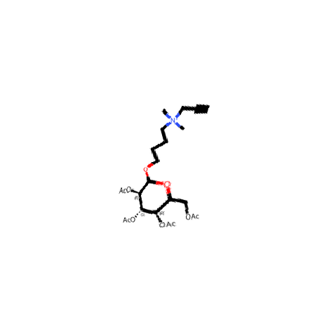 C#CC[N+](C)(C)CCCCOC1OC(COC(C)=O)[C@@H](OC(C)=O)[C@H](OC(C)=O)[C@H]1OC(C)=O